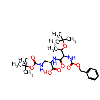 CC(OC(C)(C)C)C(NC(=O)OCc1ccccc1)C(=O)N[C@H](CNC(=O)OC(C)(C)C)C(=O)O